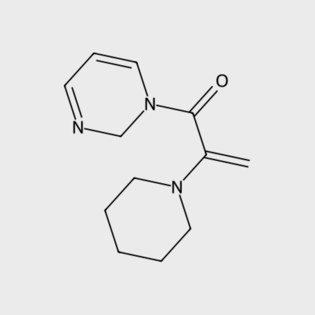 C=C(C(=O)N1C=CC=NC1)N1CCCCC1